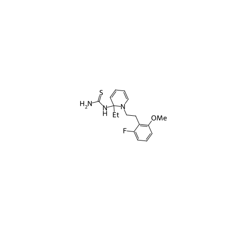 CCC1(NC(N)=S)C=CC=CN1CCc1c(F)cccc1OC